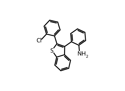 Nc1ccccc1-c1c(-c2ccccc2Cl)sc2ccccc12